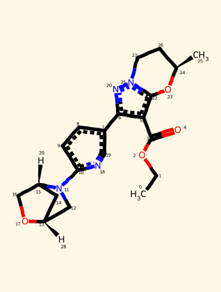 CCOC(=O)c1c(-c2ccc(N3C[C@H]4C[C@@H]3CO4)nc2)nn2c1O[C@H](C)CC2